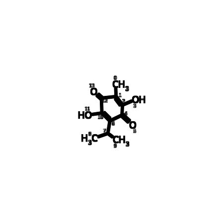 CC1=C(O)C(=O)C(C(C)C)=C(O)C1=O